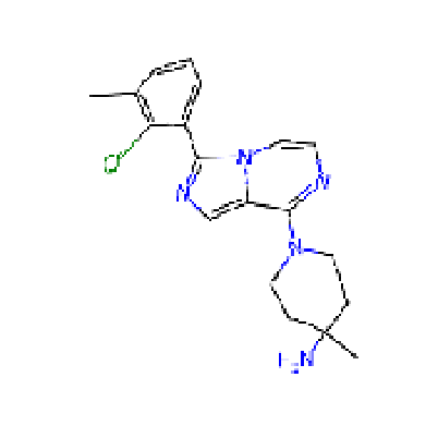 Cc1cccc(-c2ncc3c(N4CCC(C)(N)CC4)nccn23)c1Cl